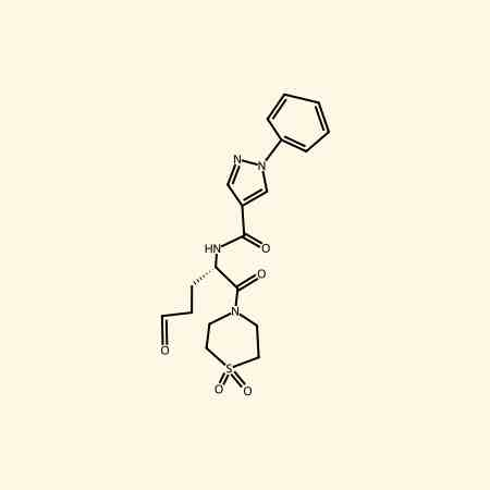 O=CCC[C@H](NC(=O)c1cnn(-c2ccccc2)c1)C(=O)N1CCS(=O)(=O)CC1